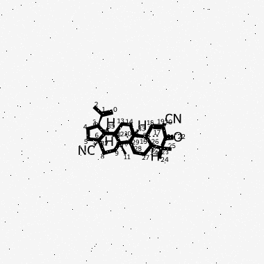 C=C(C)[C@@H]1CC[C@]2(C#N)CC[C@]3(C)[C@H](CC[C@@H]4[C@@]5(C)C=C(C#N)C(=O)C(C)(C)[C@@H]5CC[C@]43C)[C@@H]12